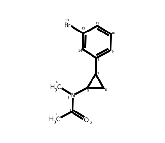 CC(=O)N(C)C1CC1c1cccc(Br)c1